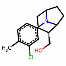 Cc1ccc(N2C3CCC2[C@@H](CO)CC3)cc1Cl